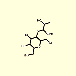 COC(OC1C(CN)OC(OC(C)(C)C)C(O)C1O)C(C)O